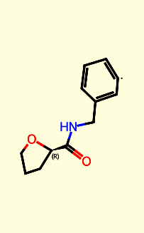 O=C(NCc1c[c]ccc1)[C@H]1CCCO1